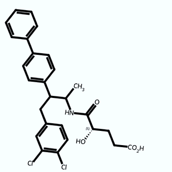 CC(NC(=O)[C@@H](O)CCC(=O)O)C(Cc1ccc(Cl)c(Cl)c1)c1ccc(-c2ccccc2)cc1